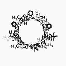 CC(C)C[C@H]1C(=O)N[C@@H](COC(C)(C)C)C(=O)N(C)[C@@H](Cc2ccccc2)C(=O)N(C)[C@@H](CC(C)C)C(=O)N[C@H](C(=O)N2CCCCC2)CC(=O)N[C@H](C(C)C)C(=O)N(C)[C@@H](Cc2ccccc2)C(=O)N[C@@H](COCC(O)C(F)(F)F)C(=O)N(C)[C@@H](CC(C)C)C(=O)N[C@@H](C(C)C)C(=O)N(C)CC(=O)N1C